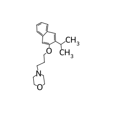 CC(C)c1cc2ccccc2cc1OCCCN1CCOCC1